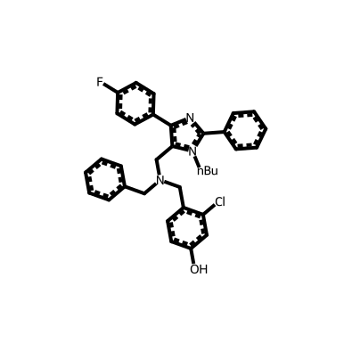 CCCCn1c(-c2ccccc2)nc(-c2ccc(F)cc2)c1CN(Cc1ccccc1)Cc1ccc(O)cc1Cl